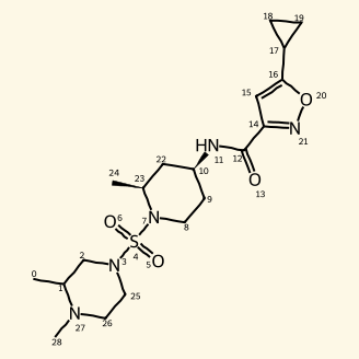 CC1CN(S(=O)(=O)N2CC[C@H](NC(=O)c3cc(C4CC4)on3)C[C@@H]2C)CCN1C